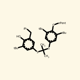 CCCCCOc1c(C(C)(C)C)cc(SC(C)(C)Sc2cc(CC(C)C)c(O)c(C(C)(C)C)c2)cc1C(C)(C)C